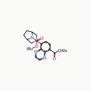 COC(=O)c1ccc(N2CC3CCC(C2)N3C(=O)OC(C)(C)C)c2nccnc12